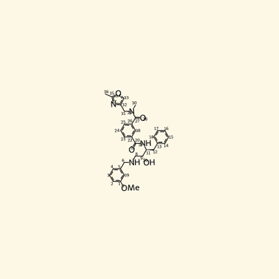 COc1cccc(CNC[C@@H](O)[C@H](Cc2ccccc2)NC(=O)c2cccc(C(=O)N(C)Cc3coc(C)n3)c2)c1